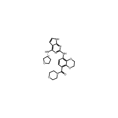 O=C(c1ccc(Nc2nc(N[C@@H]3CCOC3)c3cc[nH]c3n2)c2c1OCCO2)N1CCOCC1